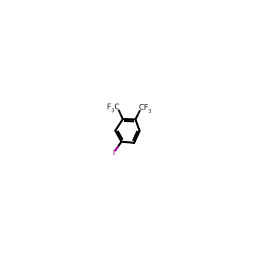 FC(F)(F)c1ccc(I)cc1C(F)(F)F